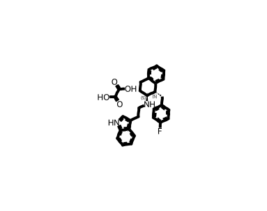 Fc1ccc(C[C@H]2c3ccccc3CC[C@@H]2NCCc2c[nH]c3ccccc23)cc1.O=C(O)C(=O)O